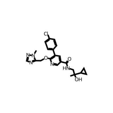 Cn1ncnc1COc1ncc(C(=O)NCC(C)(O)C2CC2)cc1-c1ccc(Cl)cc1